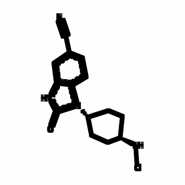 N#Cc1ccc2c(c1)[nH]c(=O)n2[C@H]1CC[C@H](NCl)CC1